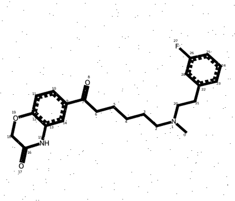 CN(CCCCCC(=O)c1ccc2c(c1)NC(=O)CO2)CCc1cccc(F)c1